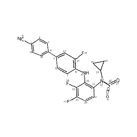 N#Cc1ccc(-c2ccc(Nc3c(N(C4CC4)[SH](=O)=O)ccc(F)c3F)c(F)c2)cc1